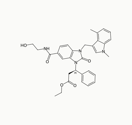 CCOC(=O)C[C@H](c1ccccc1)n1c(=O)n(Cc2cn(C)c3cccc(C)c23)c2ccc(C(=O)NCCO)cc21